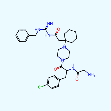 N=C(NCc1ccccc1)NC(=O)CC1(N2CCN(C(=O)C(Cc3ccc(Cl)cc3)NC(=O)CN)CC2)CCCCC1